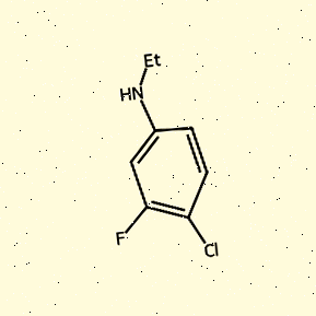 CCNc1ccc(Cl)c(F)c1